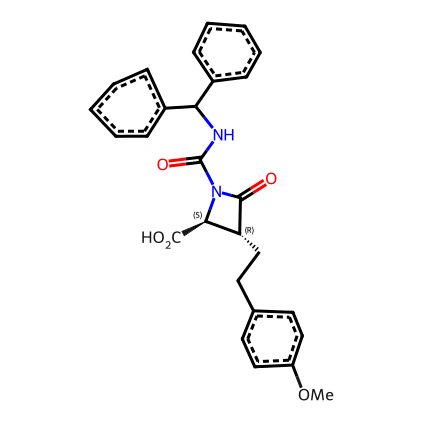 COc1ccc(CC[C@H]2C(=O)N(C(=O)NC(c3ccccc3)c3ccccc3)[C@@H]2C(=O)O)cc1